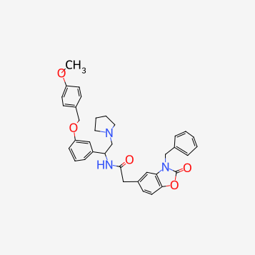 COc1ccc(COc2cccc(C(CN3CCCC3)NC(=O)Cc3ccc4oc(=O)n(Cc5ccccc5)c4c3)c2)cc1